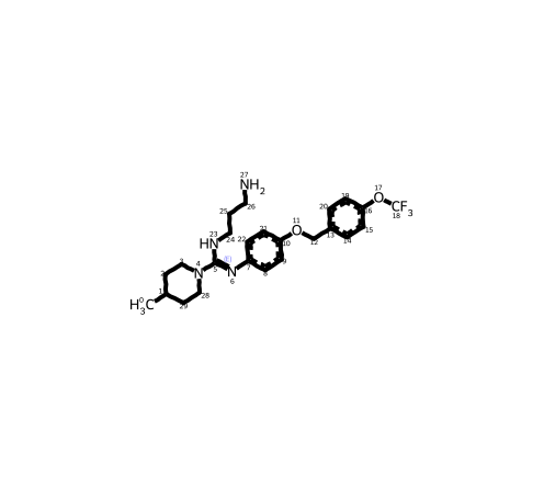 CC1CCN(/C(=N/c2ccc(OCc3ccc(OC(F)(F)F)cc3)cc2)NCCCN)CC1